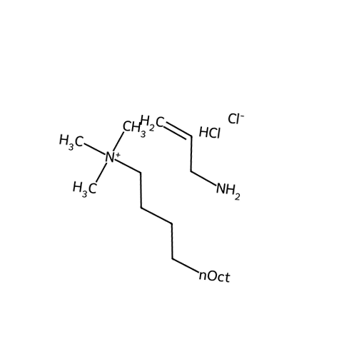 C=CCN.CCCCCCCCCCCC[N+](C)(C)C.Cl.[Cl-]